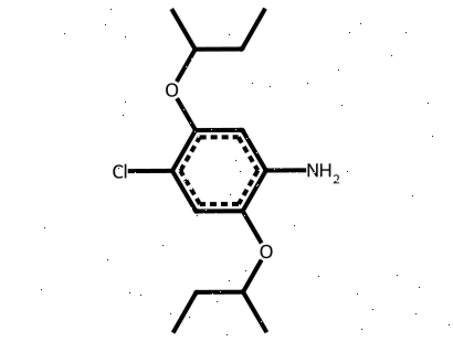 CCC(C)Oc1cc(Cl)c(OC(C)CC)cc1N